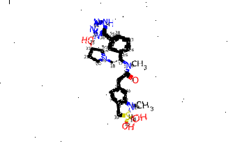 CN(C(=O)Cc1ccc2c(c1)N(C)S(O)(O)C2)[C@H](CN1CC[C@H](O)C1)c1cccc(-c2nnn[nH]2)c1